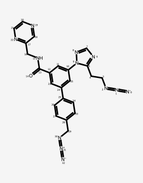 [N-]=[N+]=NCCc1ncnn1-c1cc(C(=O)NCc2cnccn2)cc(-c2ccc(CN=[N+]=[N-])cc2)c1